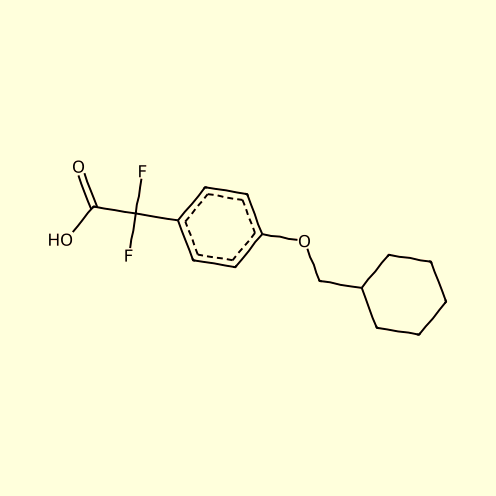 O=C(O)C(F)(F)c1ccc(OCC2CCCCC2)cc1